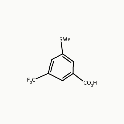 CSc1cc(C(=O)O)cc(C(F)(F)F)c1